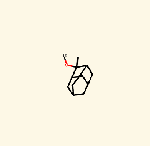 CCOC1(C)C2CC3CC(C2)CC1C3